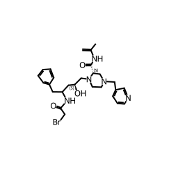 C=C(C)NC(=O)[C@@H]1CN(Cc2cccnc2)CCN1C[C@@H](O)CC(Cc1ccccc1)NC(=O)CBr